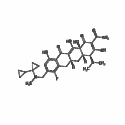 CN(C)[C@@H]1C(O)=C(C(N)=O)C(=O)[C@@]2(O)C(O)=C3C(=O)c4c(O)cc(CN(C)C5(C6CC6)CC5)c(F)c4C[C@H]3C[C@@H]12